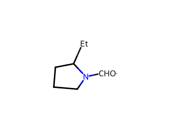 CCC1CCCN1[C]=O